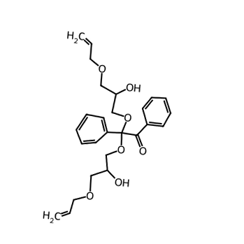 C=CCOCC(O)COC(OCC(O)COCC=C)(C(=O)c1ccccc1)c1ccccc1